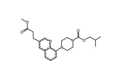 COC(=O)CCc1cnc2c(N3CCN(C(=O)OCC(C)C)CC3)cccc2c1